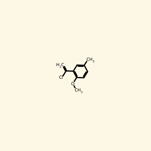 C=C(Cl)c1cc(C)ccc1OC